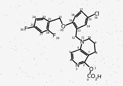 O=C(O)Oc1nccc2c1CCCN2Cc1cc(Cl)ccc1OCc1ccc(F)cc1F